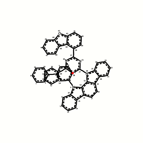 c1ccc(-c2cccc(-n3c4ccccc4c4ccc5c6ccccc6n(-c6nc(-c7ccccc7)nc(-c7cccc8oc9ccccc9c78)n6)c5c43)c2)cc1